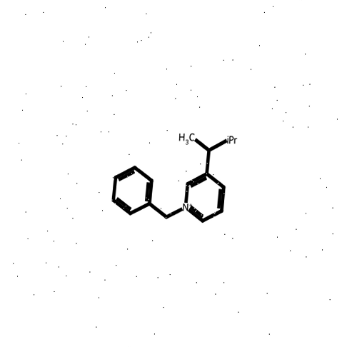 CC(C)C(C)c1ccc[n+](Cc2ccccc2)c1